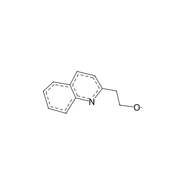 [O]CCc1ccc2ccccc2n1